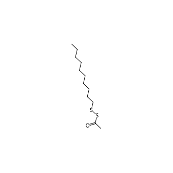 CCCCCCCCCCSSC(C)=O